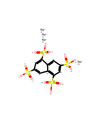 O=S(=O)([O-])c1cc(S(=O)(=O)[O-])c2cc(S(=O)(=O)[O-])cc(S(=O)(=O)[O-])c2c1.[Na+].[Na+].[Na+].[Na+]